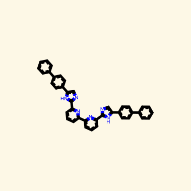 c1ccc(-c2ccc(-c3cnc(-c4cccc(-c5cccc(-c6ncc(-c7ccc(-c8ccccc8)cc7)[nH]6)n5)n4)[nH]3)cc2)cc1